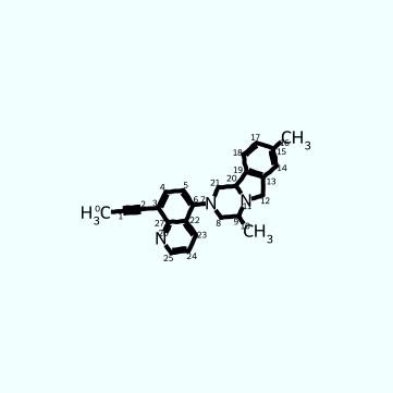 CC#Cc1ccc(N2CC(C)N3Cc4cc(C)ccc4C3C2)c2cccnc12